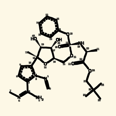 C=Nn1c(/C(N)=N\C)ccc1[C@]1(C)O[C@H](CO[P@@](=O)(N[C@@H](C)C(=O)OCC(C)(C)C)Oc2ccccc2)[C@@H](O)[C@H]1O